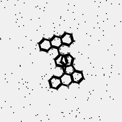 c1ccc2c(c1)Oc1cccc3c1C2(c1ccc(-c2c4ccccc4cc4ccccc24)cc1)c1ccccc1-3